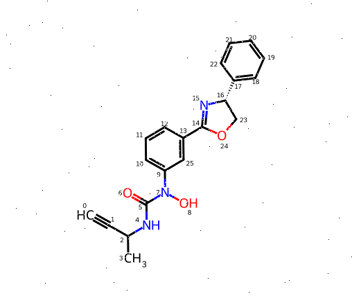 C#CC(C)NC(=O)N(O)c1cccc(C2=N[C@H](c3ccccc3)CO2)c1